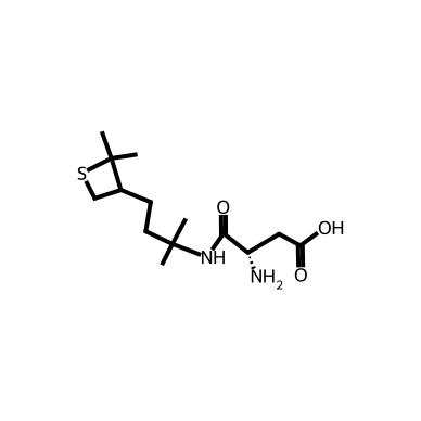 CC(C)(CCC1CSC1(C)C)NC(=O)[C@@H](N)CC(=O)O